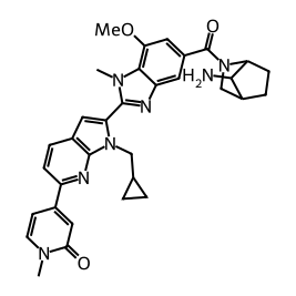 COc1cc(C(=O)N2CC3CCC2C3N)cc2nc(-c3cc4ccc(-c5ccn(C)c(=O)c5)nc4n3CC3CC3)n(C)c12